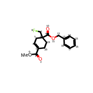 COC(=O)C1=CCC(CF)(C(=O)OCc2ccccc2)CC1